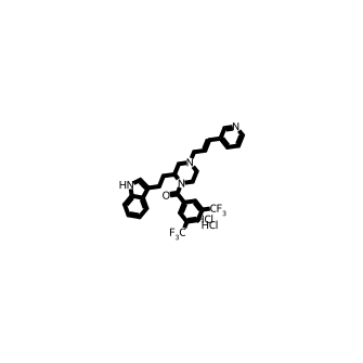 Cl.Cl.O=C(c1cc(C(F)(F)F)cc(C(F)(F)F)c1)N1CCN(CC=Cc2cccnc2)CC1CCc1c[nH]c2ccccc12